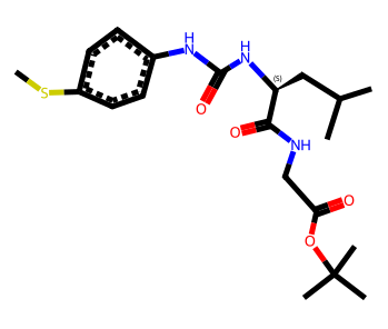 CSc1ccc(NC(=O)N[C@@H](CC(C)C)C(=O)NCC(=O)OC(C)(C)C)cc1